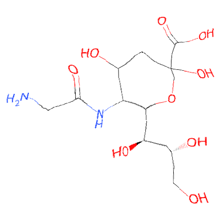 NCC(=O)NC1C(O)CC(O)(C(=O)O)OC1[C@H](O)[C@H](O)CO